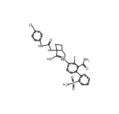 NC(=O)c1c(-c2ccccc2S(N)(=O)=O)ccc(NCC2CCC2(NC(=O)Nc2ccc(Cl)cc2)C(=O)O)c1F